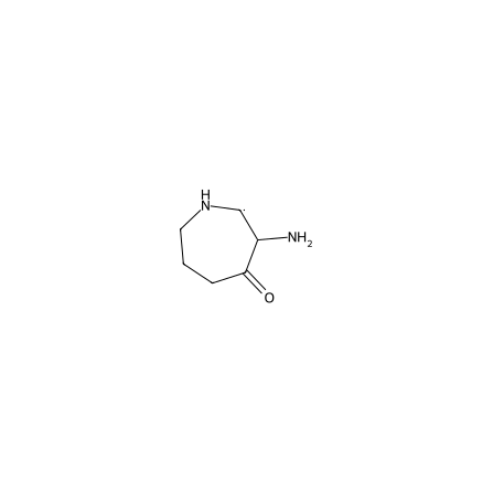 NC1[CH]NCCCC1=O